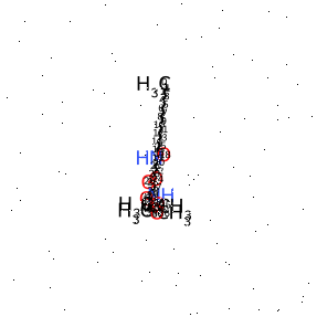 CCCCCCCCC=CCCCCCCCC(=O)NCCC=COC(=O)CCNC(=O)C1OC(C)(C)OCC1(C)C